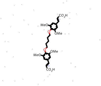 COc1cc(/C=C/C(=O)O)cc(OC)c1OCCCCCOc1c(OC)cc(/C=C/C(=O)O)cc1OC